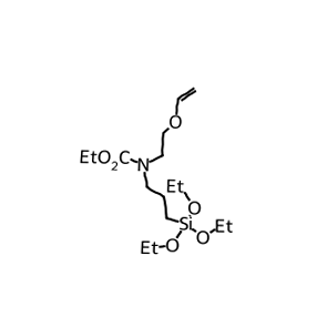 C=COCCN(CCC[Si](OCC)(OCC)OCC)C(=O)OCC